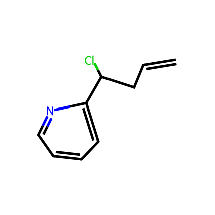 C=CCC(Cl)c1ccccn1